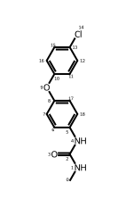 CNC(=O)Nc1ccc(Oc2ccc(Cl)cc2)cc1